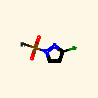 CC(C)S(=O)(=O)n1ccc(Br)n1